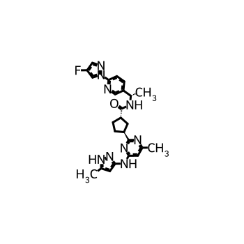 Cc1cc(Nc2cc(C)[nH]n2)nc([C@H]2CC[C@H](C(=O)N[C@@H](C)c3ccc(-n4cc(F)cn4)nc3)C2)n1